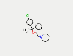 C[C@@](OCCN1CCCCCC1)(c1ccccc1)c1ccc(Cl)cc1